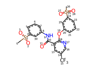 CS(=O)(=O)c1cccc(NC(=O)c2cc(C(F)(F)F)cnc2Oc2cccc(S(C)(=O)=O)c2)c1